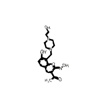 CC(=O)c1cc2ccc(O)c(CN3CCN(CCO)CC3)c2oc1=NO